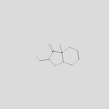 C=C1C(CO)CC2CCCCC12C